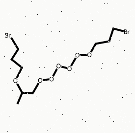 CC(COOOOOOCCCBr)OCCCBr